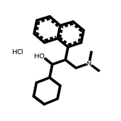 CN(C)CC(c1cccc2ccccc12)C(O)C1CCCCC1.Cl